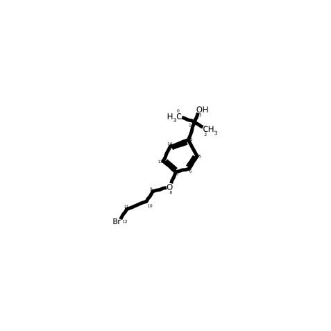 CC(C)(O)c1ccc(OCCCBr)cc1